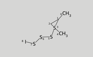 CC1CS1(C)SSSI